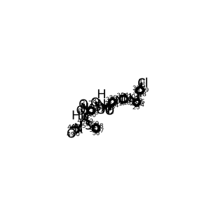 O=[N+]([O-])c1cc(S(=O)(=O)Nc2noc3cc(N4CCN(Cc5ccccc5-c5ccc(Cl)cc5)CC4)ccc23)ccc1N[C@H](CCN1CCOCC1)CSc1ccccc1